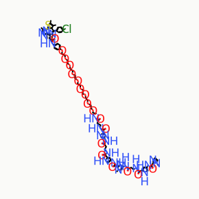 Cc1sc2c(c1C)C(c1ccc(Cl)cc1)=N[C@@H](CC(=O)Nc1ccc(OCCOCCOCCOCCOCCOCCOCCOCCOCCNC(=O)CCNC(=O)c3nc(NC(=O)CCNC(=O)c4cc(NC(=O)c5nc(NC(=O)CCNC(=O)c6cc(NC(=O)c7nccn7C)c[nH]6)cn5C)c[nH]4)cn3C)cc1)c1nnc(C)n1-2